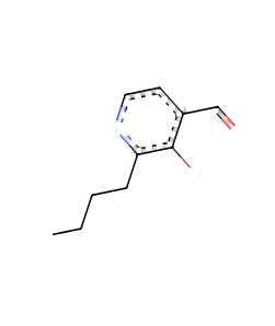 CCCCc1nccc(C=O)c1Br